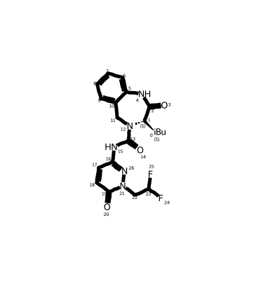 CC[C@H](C)[C@H]1C(=O)Nc2ccccc2CN1C(=O)Nc1ccc(=O)n(CC(F)F)n1